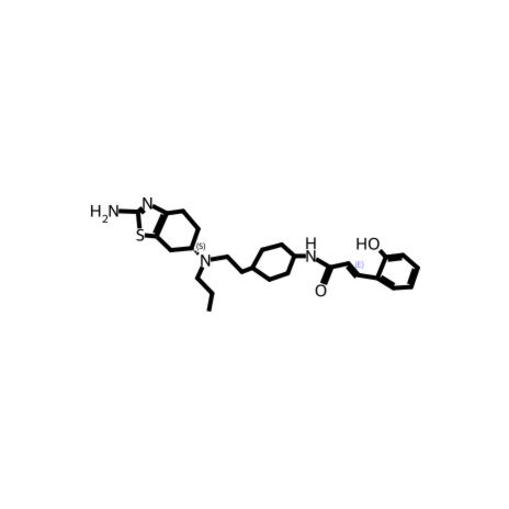 CCCN(CCC1CCC(NC(=O)/C=C/c2ccccc2O)CC1)[C@H]1CCc2nc(N)sc2C1